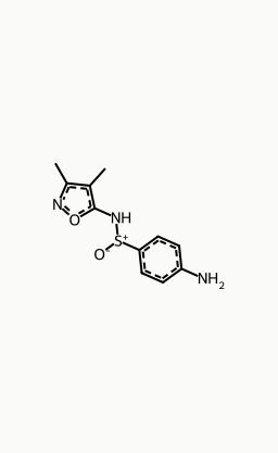 Cc1noc(N[S+]([O-])c2ccc(N)cc2)c1C